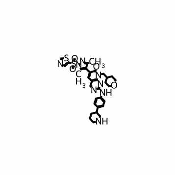 Cc1nn(S(=O)(=O)c2cncs2)c(C)c1-c1cc2cnc(Nc3ccc(C4CCCNC4)cc3)nc2n(CC2CCOCC2)c1=O